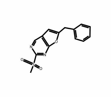 CS(=O)(=O)c1ncc2cc(Cc3ccccc3)oc2n1